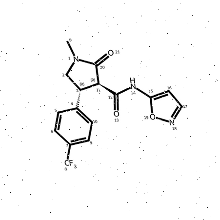 CN1C[C@@H](c2ccc(C(F)(F)F)cc2)[C@H](C(=O)Nc2ccno2)C1=O